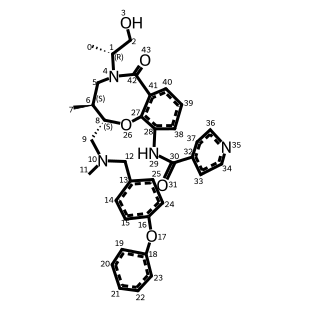 C[C@H](CO)N1C[C@H](C)[C@@H](CN(C)Cc2ccc(Oc3ccccc3)cc2)Oc2c(NC(=O)c3ccncc3)cccc2C1=O